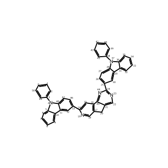 c1ccc(-n2c3ccccc3c3cc(-c4cc5c(cn4)Cc4cnc(-c6ccc7c(c6)c6ccccc6n7-c6ccccc6)nc4-5)ccc32)cc1